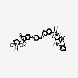 Cc1ccccc1Nc1nn(C)c2nc(Nc3ccc4c(c3)CN(CC3CCN(c5ccc6c(c5)C(=O)N(C5CCC(=O)NC5=O)C6=O)CC3)CC4)ncc12